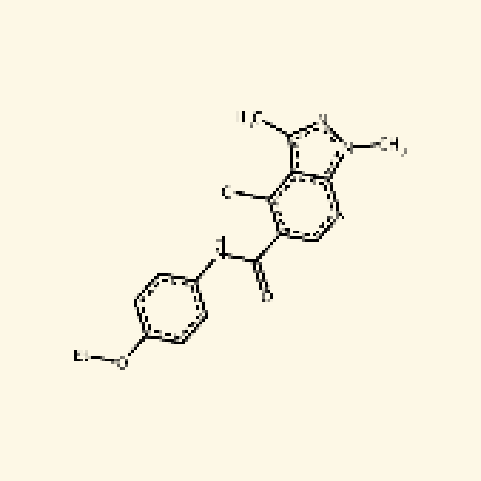 CCOc1ccc(NC(=O)c2cnc3c(c(C)nn3C)c2Cl)cc1